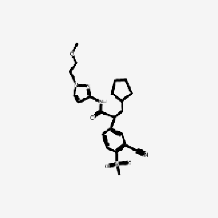 COCCn1ccc(NC(=O)C(CC2CCCC2)c2ccc(S(C)(=O)=O)c(C#N)c2)n1